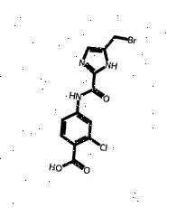 O=C(Nc1ccc(C(=O)O)c(Cl)c1)c1ncc(CBr)[nH]1